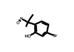 CC(C)(N=O)c1ccc(Br)cc1O